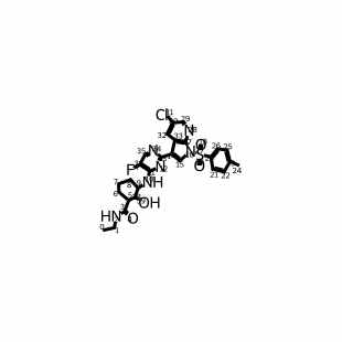 CCNC(=O)C1CCCC(Nc2nc(-c3cn(S(=O)(=O)c4ccc(C)cc4)c4ncc(Cl)cc34)ncc2F)C1O